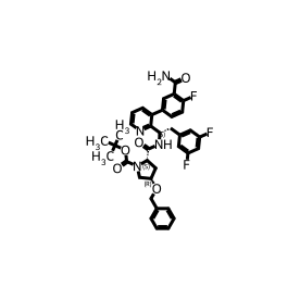 CC(C)(C)OC(=O)N1C[C@H](OCc2ccccc2)C[C@H]1C(=O)N[C@@H](Cc1cc(F)cc(F)c1)c1ncccc1-c1ccc(F)c(C(N)=O)c1